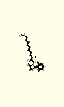 CCCCCCCCCCCCCCCCCCNC(=O)CN1C(=O)CSC1c1c(Cl)cccc1Cl